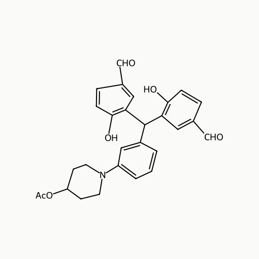 CC(=O)OC1CCN(c2cccc(C(c3cc(C=O)ccc3O)c3cc(C=O)ccc3O)c2)CC1